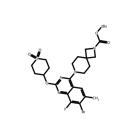 Cc1cc2c(N3CCC4(CC3)CN(C(=O)OC(C)(C)C)C4)nc(OC3CCS(=O)(=O)CC3)nc2c(F)c1Br